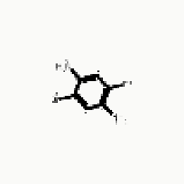 Nc1cc(Br)c(N)cc1F